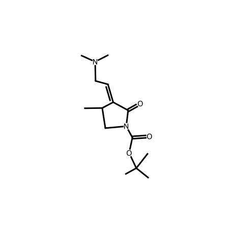 CC1CN(C(=O)OC(C)(C)C)C(=O)/C1=C/CN(C)C